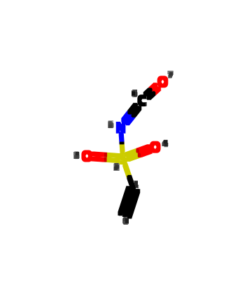 C#CS(=O)(=O)N=C=O